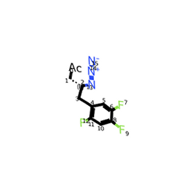 CC(=O)C[C@@H](Cc1cc(F)c(F)cc1F)N=[N+]=[N-]